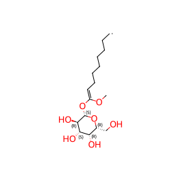 [CH2]CCCCCCC=C(OC)O[C@@H]1O[C@H](CO)[C@H](O)[C@H](O)[C@H]1O